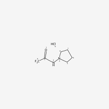 Cl.O=C(NN1CCCC1)C(F)(F)F